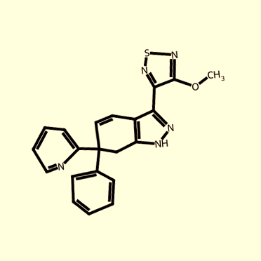 COc1nsnc1-c1n[nH]c2c1C=CC(c1ccccc1)(c1ccccn1)C2